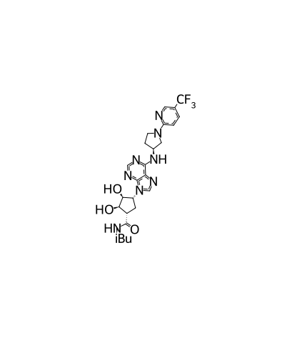 CC[C@H](C)NC(=O)[C@H]1C[C@@H](n2cnc3c(N[C@H]4CCN(c5ccc(C(F)(F)F)cn5)C4)ncnc32)[C@H](O)[C@@H]1O